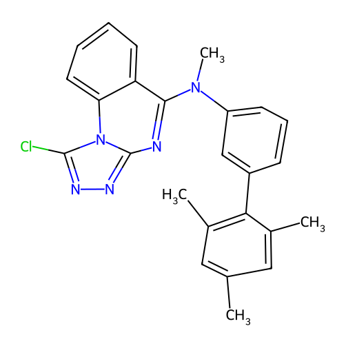 Cc1cc(C)c(-c2cccc(N(C)c3nc4nnc(Cl)n4c4ccccc34)c2)c(C)c1